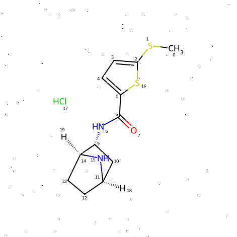 CSc1ccc(C(=O)N[C@@H]2C[C@H]3CC[C@@H]2N3)s1.Cl